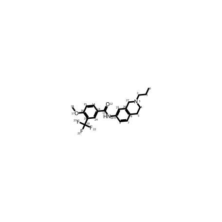 CCCN1CCc2ccc(NC(=O)c3ccc(OC)c(C(F)(F)F)c3)cc2C1